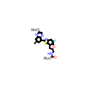 COc1cnc2c(-c3nc4cc(F)c5c(c4s3)CC(CNC(=O)OCC(C)C)O5)cc(C)cc2n1